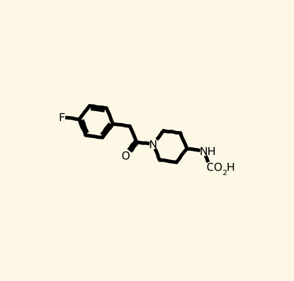 O=C(O)NC1CCN(C(=O)Cc2ccc(F)cc2)CC1